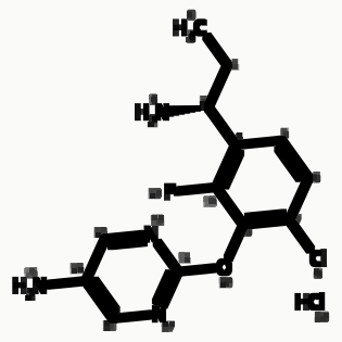 CC[C@@H](N)c1ccc(Cl)c(Oc2ncc(N)cn2)c1F.Cl